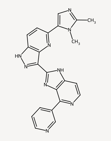 Cc1ncc(-c2ccc3[nH]nc(-c4nc5c(-c6cccnc6)nccc5[nH]4)c3n2)n1C